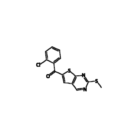 CSc1ncc2cc(C(=O)c3ccccc3Cl)sc2n1